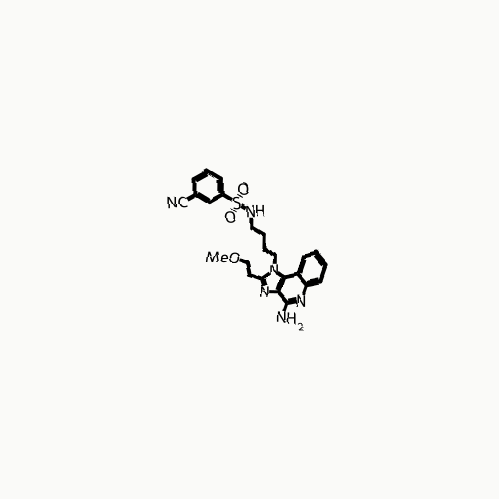 COCCc1nc2c(N)nc3ccccc3c2n1CCCCNS(=O)(=O)c1cccc(C#N)c1